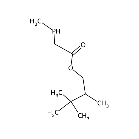 CPCC(=O)OCC(C)C(C)(C)C